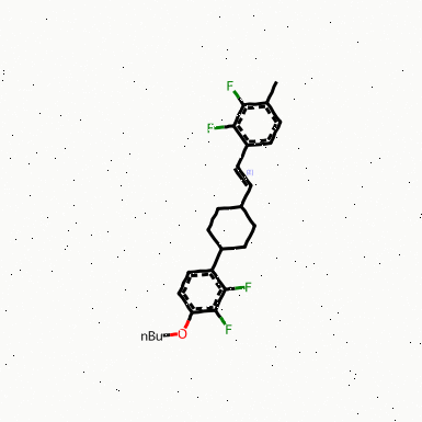 CCCCOc1ccc(C2CCC(/C=C/c3ccc(C)c(F)c3F)CC2)c(F)c1F